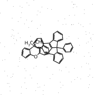 CC1(C)c2ccccc2Oc2cc(-c3ccccc3C3(c4ccccc4)c4ccccc4-c4c3ccc3ccccc43)ccc21